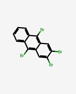 Brc1cc2c(Br)c3ccccc3c(Br)c2cc1Br